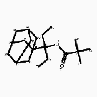 CCC(CC)(OC(=O)C(C)(C)C)C12CC3CC(CC(C3)C1)C2